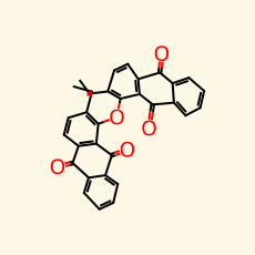 CCc1ccc2c(c1Oc1c(CC)ccc3c1C(=O)c1ccccc1C3=O)C(=O)c1ccccc1C2=O